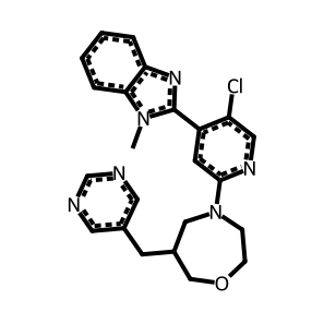 Cn1c(-c2cc(N3CCOCC(Cc4cncnc4)C3)ncc2Cl)nc2ccccc21